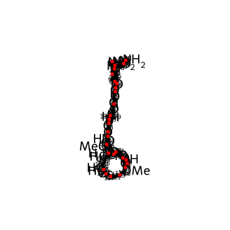 CO[C@H]1C[C@@H]2CC[C@@H](C)[C@@](O)(O2)C(=O)C(=O)N2CCCC[C@H]2C(=O)O[C@H]([C@H](N)C[C@@H]2CC[C@@H](OC(=O)NCCOCCOCCN3C[C@@H]4C[C@H]3CN4CCOCCOCCOCCOCCC(=O)N3CCc4cc(Cn5nc(-c6ccc7oc(N)nc7c6)c6c(N)ncnc65)ccc4C3)[C@H](OC)C2)C[C@@H](O)[C@H](C)/C=C(\C)[C@@H](O)[C@@H](O)C(=O)[C@H](C)C[C@H](C)/C=C/C=C/C=C/1C